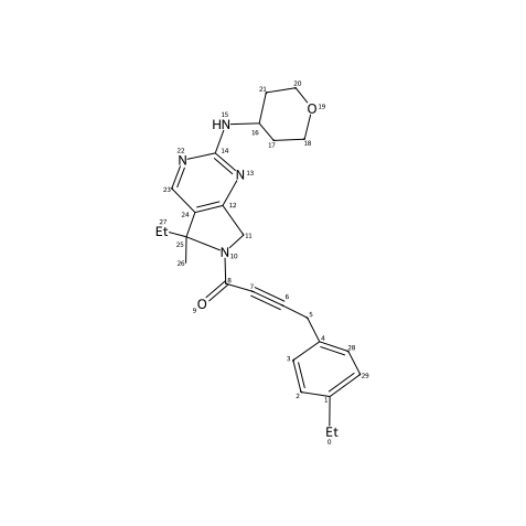 CCc1ccc(CC#CC(=O)N2Cc3nc(NC4CCOCC4)ncc3C2(C)CC)cc1